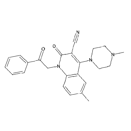 Cc1ccc2c(c1)c(N1CCN(C)CC1)c(C#N)c(=O)n2CC(=O)c1ccccc1